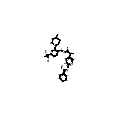 CC1CCN(c2nc(C(F)(F)F)ccc2CNC(=O)C(C)c2ccc(NC(=O)c3ccccc3)nc2)CC1